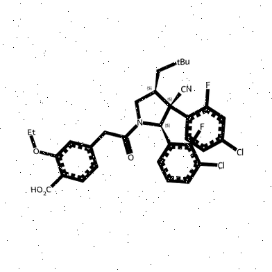 CCOc1cc(CC(=O)N2C[C@@H](CC(C)(C)C)[C@](C#N)(c3ccc(Cl)cc3F)[C@H]2c2cccc(Cl)c2F)ccc1C(=O)O